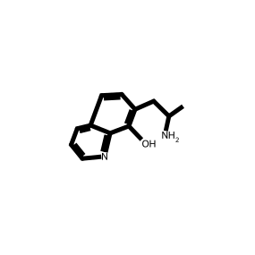 CC(N)Cc1ccc2cccnc2c1O